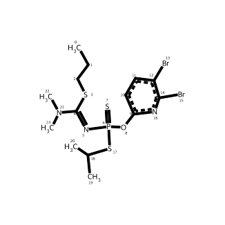 CCCSC(=NP(=S)(Oc1ccc(Br)c(Br)n1)SC(C)C)N(C)C